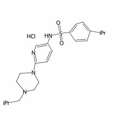 CC(C)CN1CCN(c2ccc(NS(=O)(=O)c3ccc(C(C)C)cc3)cn2)CC1.Cl